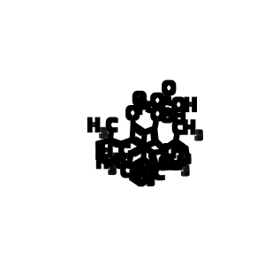 Cc1cccc(C)c1-c1c2c(-c3c(C)cccc3C)c(-c3c(C)cccc3C)c(-c3c(C)cccc3C)c1OP(=O)(OP(=O)(O)O)O2